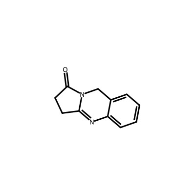 O=C1CCC2=Nc3ccccc3CN12